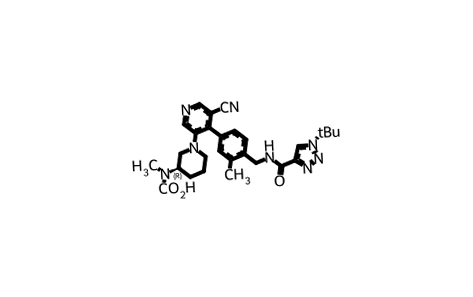 Cc1cc(-c2c(C#N)cncc2N2CCC[C@@H](N(C)C(=O)O)C2)ccc1CNC(=O)c1cn(C(C)(C)C)nn1